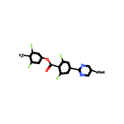 CCCCCc1cnc(-c2cc(F)c(C(=O)Oc3cc(F)c(C(F)(F)F)c(F)c3)c(F)c2)nc1